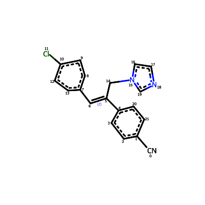 N#Cc1ccc(/C(=C/c2ccc(Cl)cc2)Cn2ccnc2)cc1